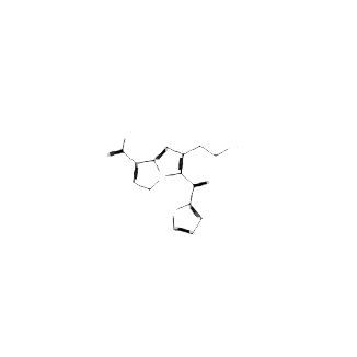 CCCc1cc2n(c1C(=O)c1ccco1)CC=C2C(=O)O